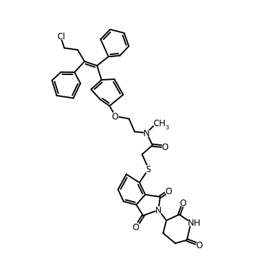 CN(CCOc1ccc(C(=C(CCCl)c2ccccc2)c2ccccc2)cc1)C(=O)CSc1cccc2c1C(=O)N(C1CCC(=O)NC1=O)C2=O